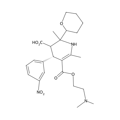 CC1=C(C(=O)OCCN(C)C)[C@H](c2cccc([N+](=O)[O-])c2)C(C(=O)O)C(C)(C2CCCCO2)N1